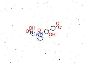 COC(=O)c1ccc(-c2ccc(-n3c(=O)n([C@H]4CCN(C(=O)O)C4)c4ncccc43)cc2O)cc1